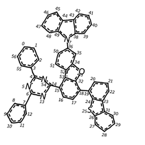 c1ccc(-c2nc(-c3ccccc3)nc(-c3ccc(-c4cccc5c4sc4ccccc45)c4oc5cc(-n6c7ccccc7c7ccccc76)ccc5c34)n2)cc1